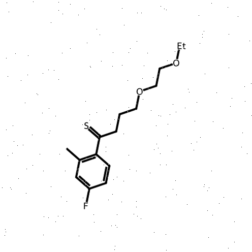 CCOCCOCCCC(=S)c1ccc(F)cc1C